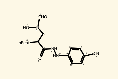 CCCCCC(CN(O)C=O)C(=O)NNc1ccc(C#N)cc1